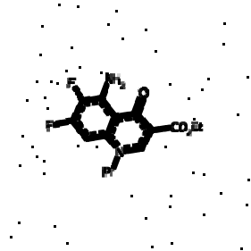 CCOC(=O)c1cn(C(C)C)c2cc(F)c(F)c(N)c2c1=O